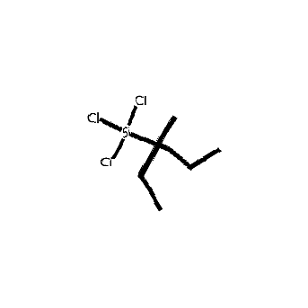 CCC(C)(CC)[Si](Cl)(Cl)Cl